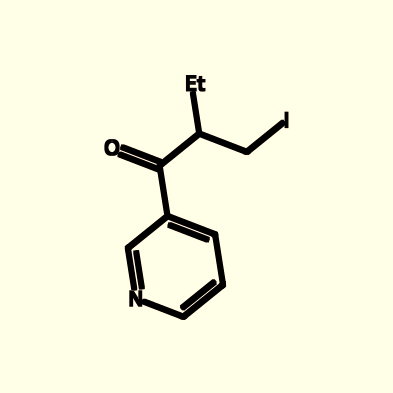 CCC(CI)C(=O)c1cccnc1